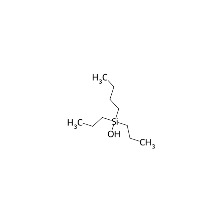 CCCC[Si](O)(CCC)CCC